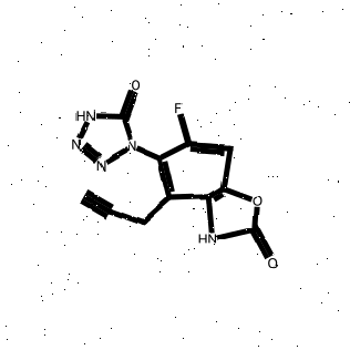 C#CCc1c(-n2nn[nH]c2=O)c(F)cc2oc(=O)[nH]c12